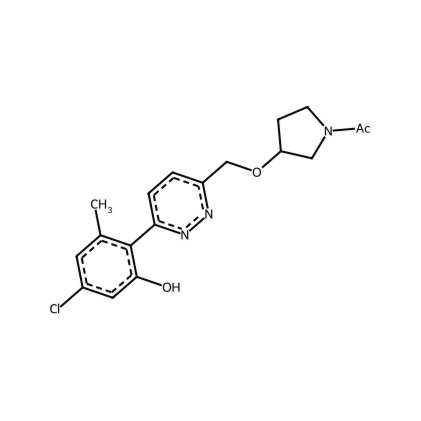 CC(=O)N1CCC(OCc2ccc(-c3c(C)cc(Cl)cc3O)nn2)C1